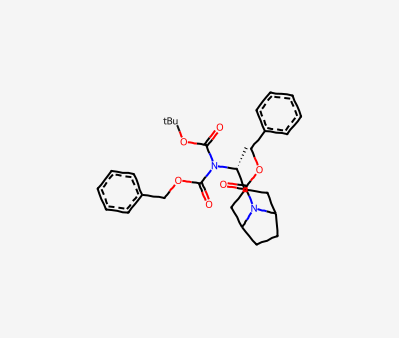 C[C@H](C1CC2CCC(C1)N2C(=O)OCc1ccccc1)N(C(=O)OCc1ccccc1)C(=O)OC(C)(C)C